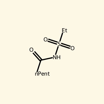 CCCCCC(=O)NS(=O)(=O)CC